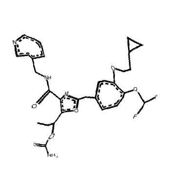 CC(OC(N)=O)c1oc(-c2ccc(OC(F)F)c(OCC3CC3)c2)nc1C(=O)NCc1cccnc1